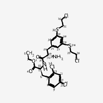 CCOC(=O)[C@H](Cc1ccc(Cl)cc1Cl)NC(=O)[C@@H](N)Cc1cc(SCCCl)cc(SCCCl)c1